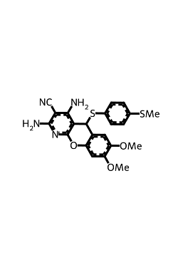 COc1cc2c(cc1OC)C(Sc1ccc(SC)cc1)c1c(nc(N)c(C#N)c1N)O2